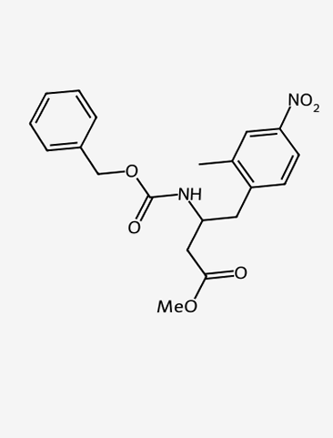 COC(=O)CC(Cc1ccc([N+](=O)[O-])cc1C)NC(=O)OCc1ccccc1